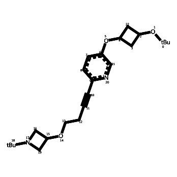 CC(C)(C)OC1CC(Oc2ccc(C#CCCOC3CN(C(C)(C)C)C3)nc2)C1